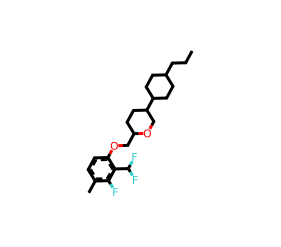 CCCC1CCC(C2CCC(COc3ccc(C)c(F)c3C(F)F)OC2)CC1